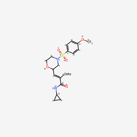 CO/C(=C\C1CN(S(=O)(=O)c2ccc(OC(F)(F)F)cc2)CCO1)C(=O)NC1CC1